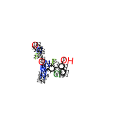 Oc1cc(-c2c(Cl)cc3c(N4CC5CCC(C4)N5)nc(OC[C@@H](F)CN4C5CCC4COC5)nc3c2F)c2ccccc2c1